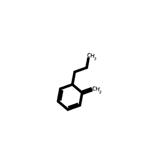 C=C1C=CC=CC1CCC